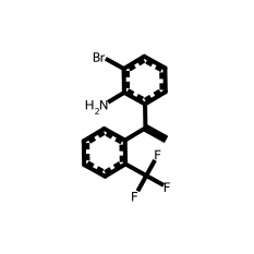 C=C(c1ccccc1C(F)(F)F)c1cccc(Br)c1N